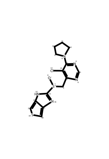 [O-][S+](Cc1ncnc(N2CCCC2)c1Cl)c1nc2cscc2[nH]1